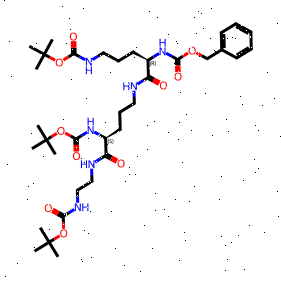 CC(C)(C)OC(=O)NCCC[C@@H](NC(=O)OCc1ccccc1)C(=O)NCCC[C@H](NC(=O)OC(C)(C)C)C(=O)NCCNC(=O)OC(C)(C)C